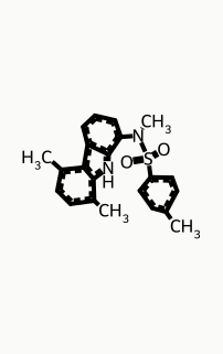 Cc1ccc(S(=O)(=O)N(C)c2cccc3c2[nH]c2c(C)ccc(C)c23)cc1